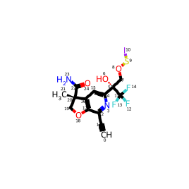 C#Cc1nc([C@@](O)(COSI)C(F)(F)F)cc2c1OC[C@]2(C)C(N)=O